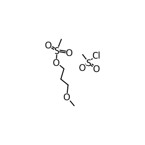 COCCCOS(C)(=O)=O.CS(=O)(=O)Cl